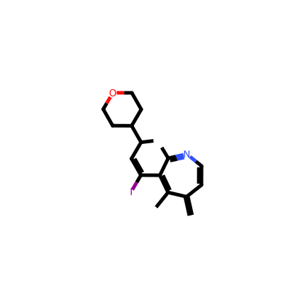 C=C1C=CN=C(C)C(/C(I)=C\C(C)C2CCOCC2)=C1C